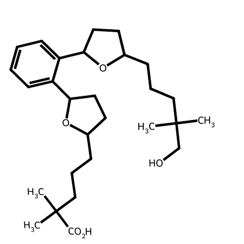 CC(C)(CO)CCCC1CCC(c2ccccc2C2CCC(CCCC(C)(C)C(=O)O)O2)O1